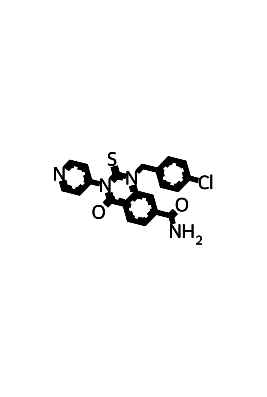 NC(=O)c1ccc2c(=O)n(-c3ccncc3)c(=S)n(Cc3ccc(Cl)cc3)c2c1